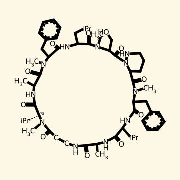 CC(C)CC1NC(=O)C(Cc2ccccc2)N(C)C(=O)C(C)NC(=O)[C@@H](C(C)C)N(C)C(=O)CCNC(=O)C(C)NC(=O)C(C(C)C)NC(=O)C(Cc2ccccc2)N(C)C(=O)C2CCCNN2C(=O)C(CO)N(C)C1=O